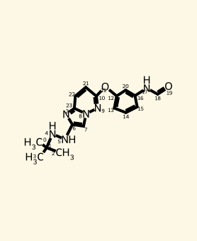 CC(C)(C)NNc1cn2nc(Oc3cccc(NC=O)c3)ccc2n1